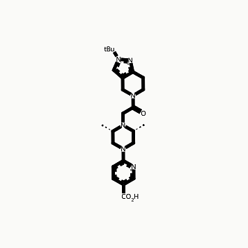 C[C@@H]1CN(c2ccc(C(=O)O)cn2)C[C@H](C)N1CC(=O)N1CCc2nn(C(C)(C)C)cc2C1